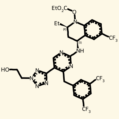 CCOC(=O)ON1c2ccc(C(F)(F)F)cc2[C@@H](Nc2ncc(-c3nnn(CCO)n3)c(Cc3cc(C(F)(F)F)cc(C(F)(F)F)c3)n2)C[C@H]1CC